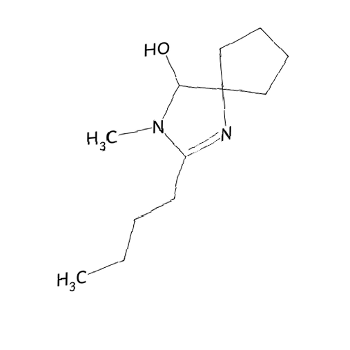 CCCCC1=NC2(CCCC2)C(O)N1C